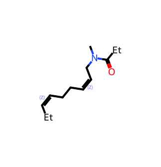 CC/C=C\CC/C=C\CN(C)C(=O)CC